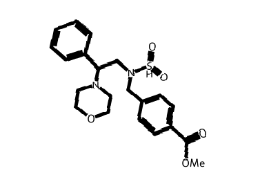 COC(=O)c1ccc(CN(CC(c2ccccc2)N2CCOCC2)[SH](=O)=O)cc1